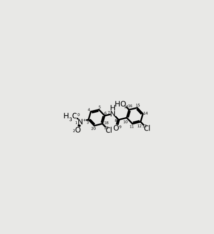 C[N+](=O)c1ccc(NC(=O)c2cc(Cl)ccc2O)c(Cl)c1